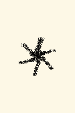 CCCCCCCCCCCCCCCOc1ccc(CCc2c(CCc3ccc(OCCCCCCCCCCCCCCC)cc3)c(CCc3ccc(OCCCCCCCCCCCCCCC)cc3)c(CCc3ccc(OCCCCCCCCCCCCCCC)cc3)c(CCc3ccc(OCCCCCCCCCCCCCCC)cc3)c2CCc2ccc(OCCCCCCCCCCCCCCC)cc2)cc1